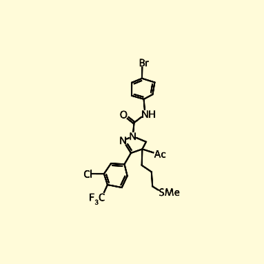 CSCCCC1(C(C)=O)CN(C(=O)Nc2ccc(Br)cc2)N=C1c1ccc(C(F)(F)F)c(Cl)c1